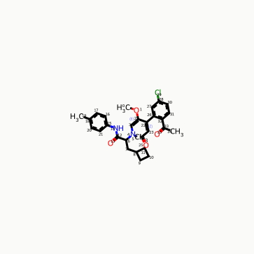 COC(=C/N(C)C(CC1CCC1)C(=O)Nc1ccc(C)cc1)/C(=C\C=O)c1cc(Cl)ccc1C(C)=O